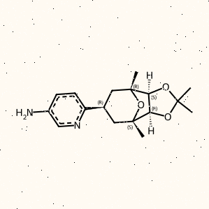 CC1(C)O[C@@H]2[C@H](O1)[C@@]1(C)C[C@H](c3ccc(N)cn3)C[C@]2(C)O1